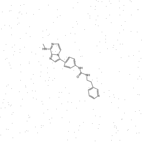 CNc1nccn2c(-c3ccc(NC(=O)NCCc4cccnc4)cc3)cnc12